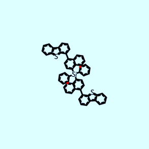 c1ccc([Si](c2ccccc2)(c2ccc(-c3cccc4c3sc3ccccc34)c3ccccc23)c2ccc(-c3cccc4c3sc3ccccc34)c3ccccc23)cc1